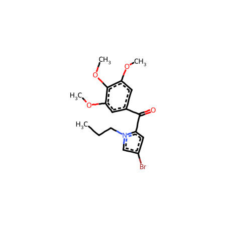 CCCn1cc(Br)cc1C(=O)c1cc(OC)c(OC)c(OC)c1